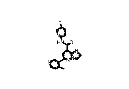 Cc1ccncc1-c1cc(C(=O)Nc2ccc(F)cn2)c2nccn2n1